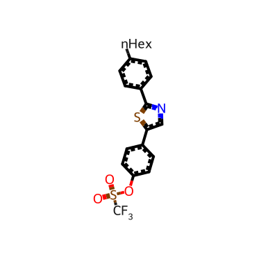 CCCCCCc1ccc(-c2ncc(-c3ccc(OS(=O)(=O)C(F)(F)F)cc3)s2)cc1